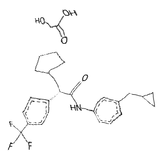 O=C(Nc1cccc(CC2CC2)c1)[C@H](c1ccc(C(F)(F)F)cc1)C1CCCC1.O=C(O)O